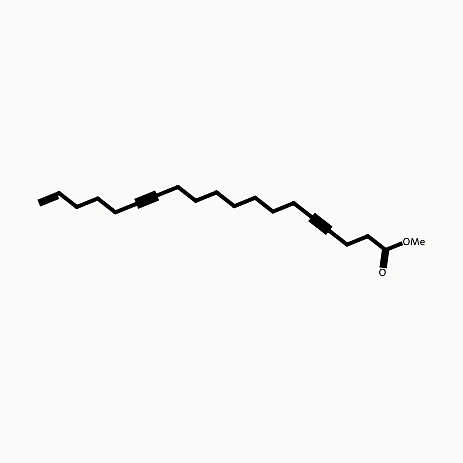 C=CCCCC#CCCCCCCCC#CCCC(=O)OC